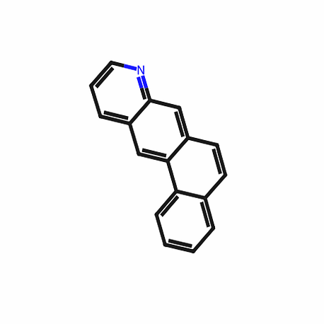 c1cnc2cc3ccc4ccccc4c3cc2c1